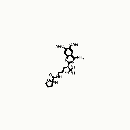 [2H]C1(C(=O)NCCCN(c2nc(N)c3cc(OC)c(OC)cc3n2)C([2H])([2H])[2H])CCCO1